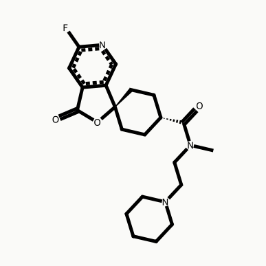 CN(CCN1CCCCC1)C(=O)[C@H]1CC[C@@]2(CC1)OC(=O)c1cc(F)ncc12